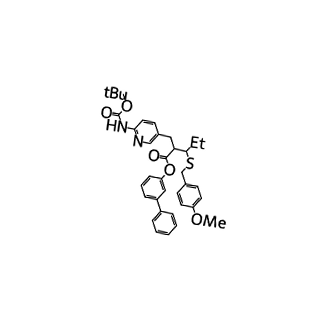 CCC(SCc1ccc(OC)cc1)C(Cc1ccc(NC(=O)OC(C)(C)C)nc1)C(=O)Oc1cccc(-c2ccccc2)c1